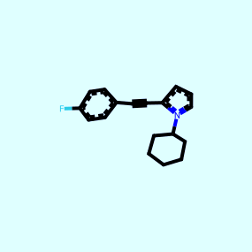 Fc1ccc(C#Cc2cccn2C2CCCCC2)cc1